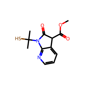 COC(=O)C1C(=O)N(C(C)(C)S)c2ncccc21